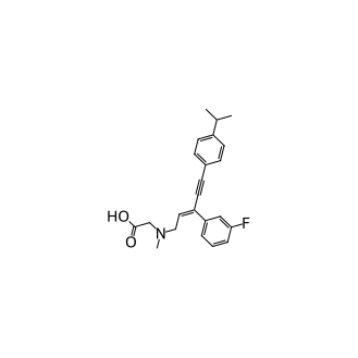 CC(C)c1ccc(C#CC(=CCN(C)CC(=O)O)c2cccc(F)c2)cc1